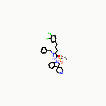 CS(=O)(=O)[N+]1(NC(=O)C(CCCc2ccc(Cl)c(Cl)c2)NCc2ccccc2)CC2(CCNCC2)c2ccccc21